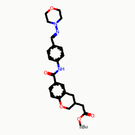 CCCCOC(=O)CC1COc2ccc(C(=O)Nc3ccc(C=NN4CCOCC4)cc3)cc2C1